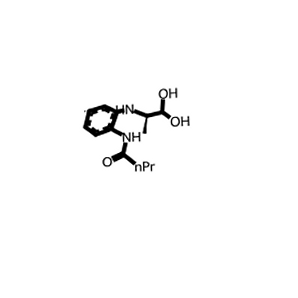 CCCC(=O)Nc1cc[c]cc1N[C@H](C)C(O)O